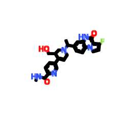 CNC(=O)c1ccc(C2=CCN(C(C)c3ccc4c(c3)[nH]c(=O)c3c(F)ccn34)CC2CO)cn1